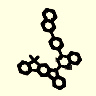 CC1(C)c2ccccc2-c2cc3c4ccccc4n(C4N=C(c5ccc(-c6ccc7ccccc7c6)cc5)c5ccccc5N4)c3cc21